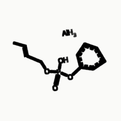 CC=CCOP(=O)(O)Oc1ccccc1.[AlH3]